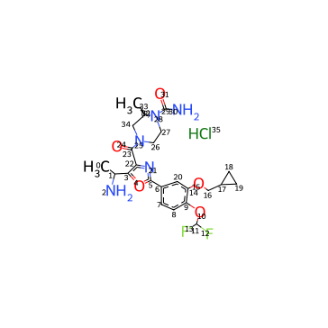 CC(N)c1oc(-c2ccc(OC(F)F)c(OCC3CC3)c2)nc1C(=O)N1CCN(C(N)=O)[C@H](C)C1.Cl